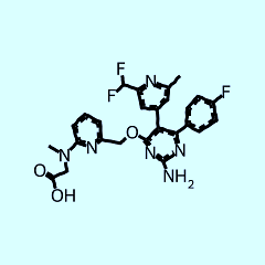 Cc1cc(-c2c(OCc3cccc(N(C)CC(=O)O)n3)nc(N)nc2-c2ccc(F)cc2)cc(C(F)F)n1